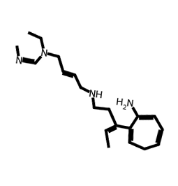 C/C=C(/CCNCC=CCN(/C=N\C)CC)C1=CCC=CC=C1N